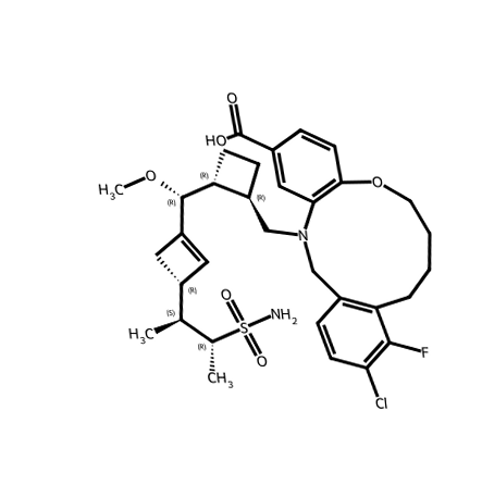 CO[C@@H](C1=C[C@H]([C@H](C)[C@@H](C)S(N)(=O)=O)C1)[C@@H]1CC[C@H]1CN1Cc2ccc(Cl)c(F)c2CCCCOc2ccc(C(=O)O)cc21